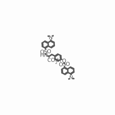 CN(C)c1cccc2c(S(=O)(=O)N[C@@H](Cc3ccc(OS(=O)(=O)c4cccc5c(N(C)C)cccc45)cc3)C(=O)O)cccc12